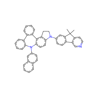 CC1(C)c2ccncc2-c2ccc(N3CCc4c3ccc3c4-c4ccccc4-c4ccccc4N3c3ccc4ccccc4c3)cc21